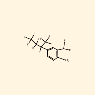 Nc1ccc(C(F)(C(F)(F)F)C(F)(F)C(F)(F)F)cc1C(F)F